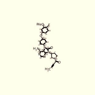 CC#CC(=O)N1CCC(n2c(=O)n(-c3ccc(Oc4ccc(F)c(OC)c4)cc3)c3c(N)ncnc32)C1